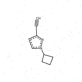 C#Cc1ccn(C2CCC2)n1